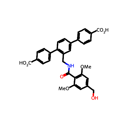 COc1cc(CO)cc(OC)c1C(=O)NCc1cc(-c2ccc(C(=O)O)cc2)ccc1-c1ccc(C(=O)O)cc1